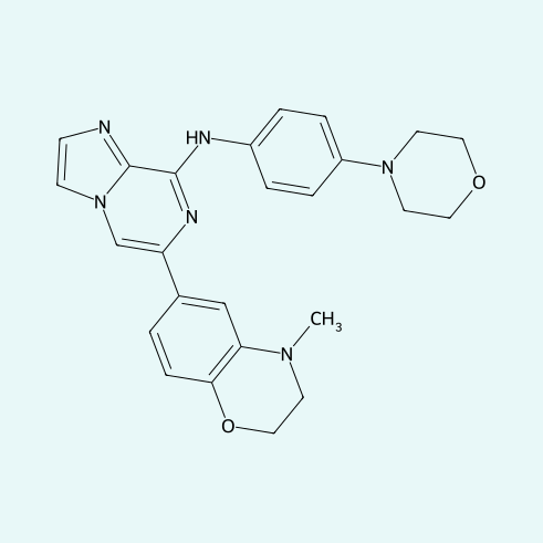 CN1CCOc2ccc(-c3cn4ccnc4c(Nc4ccc(N5CCOCC5)cc4)n3)cc21